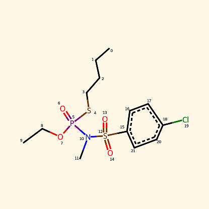 CCCCSP(=O)(OCC)N(C)S(=O)(=O)c1ccc(Cl)cc1